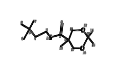 C=C(SCCC(C)(C)C)C1(C)COC(C)(C)OC1